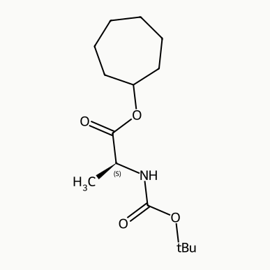 C[C@H](NC(=O)OC(C)(C)C)C(=O)OC1CCCCCC1